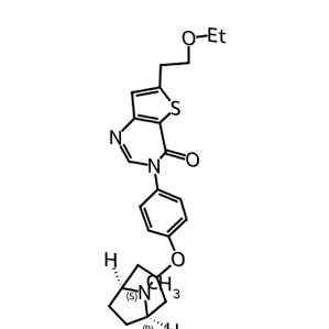 CCOCCc1cc2ncn(-c3ccc(OC4C[C@H]5CC[C@@H](C4)N5C)cc3)c(=O)c2s1